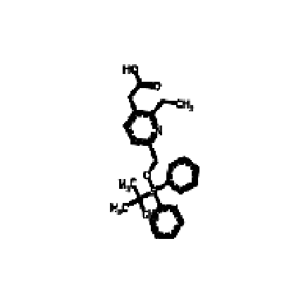 CCc1nc(CO[Si](c2ccccc2)(c2ccccc2)C(C)(C)C)ccc1CC(=O)O